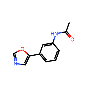 CC(=O)Nc1cccc(-c2cnco2)c1